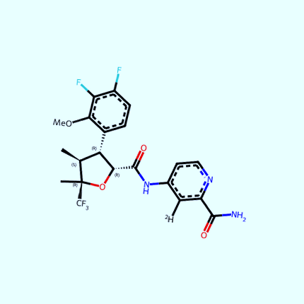 [2H]c1c(NC(=O)[C@@H]2O[C@@](C)(C(F)(F)F)[C@@H](C)[C@@H]2c2ccc(F)c(F)c2OC)ccnc1C(N)=O